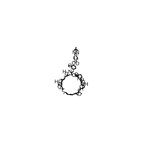 CO[C@H]1C[C@@H]2CC[C@@H](C)[C@@](O)(O2)C(=O)C(=O)N2CCCC[C@H]2C(=O)O[C@H]([C@H](N)C[C@@H]2CC[C@@H](OC(=O)N3CCN(c4ncc(C)cn4)CC3)[C@H](OC)C2)CC(=O)[C@H](C)/C=C(\C)[C@@H](O)[C@@H](OC)C(=O)[C@H](C)C[C@H](C)/C=C/C=C/C=C/1C